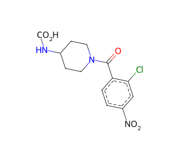 O=C(O)NC1CCN(C(=O)c2ccc([N+](=O)[O-])cc2Cl)CC1